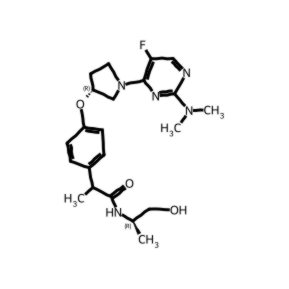 CC(C(=O)N[C@H](C)CO)c1ccc(O[C@@H]2CCN(c3nc(N(C)C)ncc3F)C2)cc1